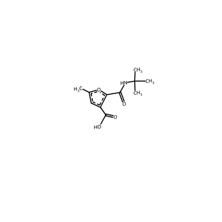 Cc1cc(C(=O)O)c(C(=O)NC(C)(C)C)o1